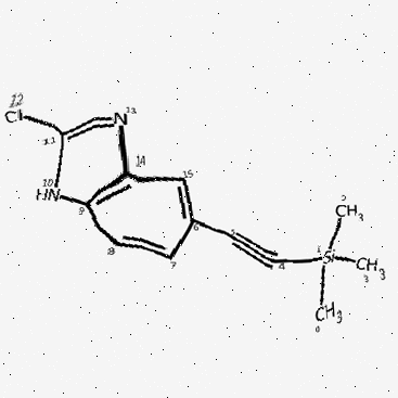 C[Si](C)(C)C#Cc1ccc2[nH]c(Cl)nc2c1